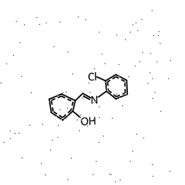 Oc1ccccc1C=Nc1ccccc1Cl